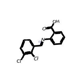 O=C(O)c1ccccc1/N=C/c1cccc(Cl)c1Cl